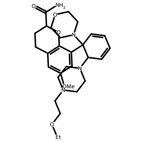 CCOCCN1CCN(C2C=CC=CC2(c2cc(OC)cc3c2OC(C(N)=O)CC3)N2CCOCC2)CC1